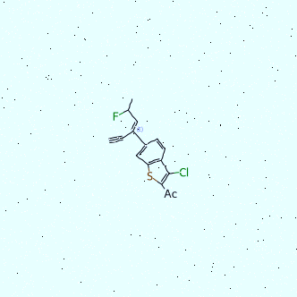 C#C/C(=C\C(C)F)c1ccc2c(Cl)c(C(C)=O)sc2c1